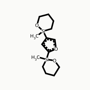 C[Si]1(c2coc([Si]3(C)CCCCO3)c2)CCCCO1